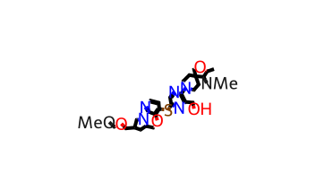 CNC1C(C)OCC12CCN(c1ncc(Sc3ccnc4c3OCC3CC(COCOC)CN43)nc1CO)CC2